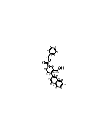 O=C(OCc1ccccc1)N1CCC(c2ccc3ccccc3c2)=C(CO)C1